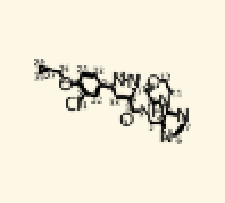 O=C(NCc1nccnc1N1CCOCC1)c1cnnc(-c2ccc(OCC3CC3)c(Cl)c2)c1